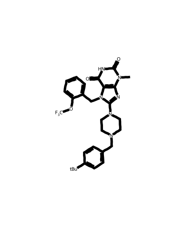 Cn1c(=O)[nH]c(=O)c2c1nc(N1CCN(Cc3ccc(C(C)(C)C)cc3)CC1)n2Cc1ccccc1OC(F)(F)F